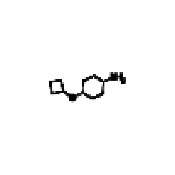 NC1CCC(OC2CCC2)CC1